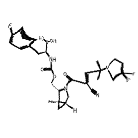 CC(C)(/C=C(\C#N)C(=O)N1C[C@@H]2C[C@@H]2[C@@H]1COC(=O)N[C@@H](Cc1ccc(F)cc1)B(O)O)N1CCC(F)(F)C1